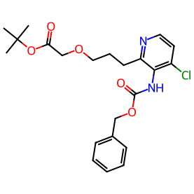 CC(C)(C)OC(=O)COCCCc1nccc(Cl)c1NC(=O)OCc1ccccc1